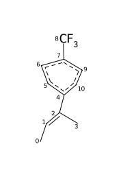 C/C=C(\C)c1ccc(C(F)(F)F)cc1